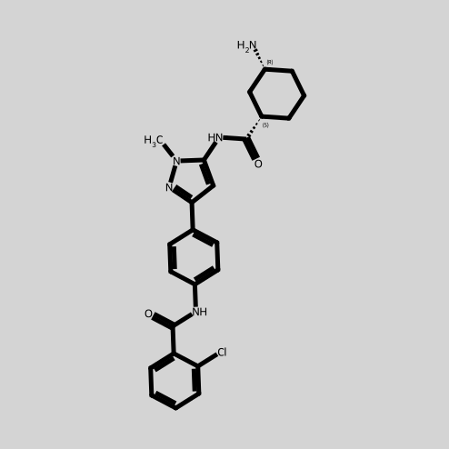 Cn1nc(-c2ccc(NC(=O)c3ccccc3Cl)cc2)cc1NC(=O)[C@H]1CCC[C@@H](N)C1